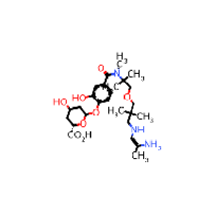 C/C(N)=C/NCC(C)(C)COCC(C)(C)N(C)C(=O)c1ccc(OC2CC(O)C[C@@H](C(=O)O)O2)c(O)c1